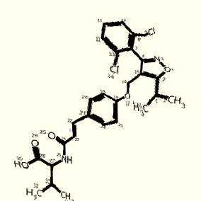 CC(C)c1onc(-c2c(Cl)cccc2Cl)c1COc1ccc(/C=C/C(=O)NC(C(=O)O)C(C)C)cc1